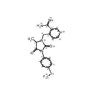 CC1C(=O)N(c2ccc(SC(F)(F)F)cc2)C(=O)N1Cc1ccncc1C(=N)N